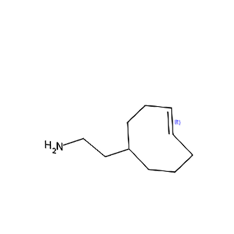 NCCC1CC/C=C/CCC1